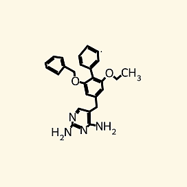 CCOc1cc(Cc2cnc(N)nc2N)cc(OCc2ccccc2)c1-c1c[c]ccc1